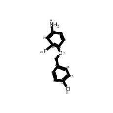 Nc1ccc(OCc2ccc(Cl)cc2)c(F)c1